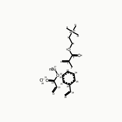 C=C(C)C(=O)OCC[N+](C)(C)C.C=CC(=O)OCCCC.C=Cc1ccccc1.[Cl-]